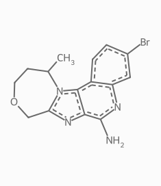 CC1CCOCc2nc3c(N)nc4cc(Br)ccc4c3n21